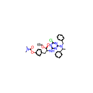 CC(c1ccccc1)N(Cc1ccccc1)c1nc(Cl)nc(N[C@@H](Cc2ccc(OC(=O)N(C)C)cc2)C(=O)OC(C)(C)C)n1